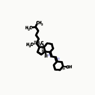 CC(C)CCC[C@@H](C)C1CC[C@H]2/C(=C/C=C3\CCC[C@H](O)C3)CCC[C@]12C